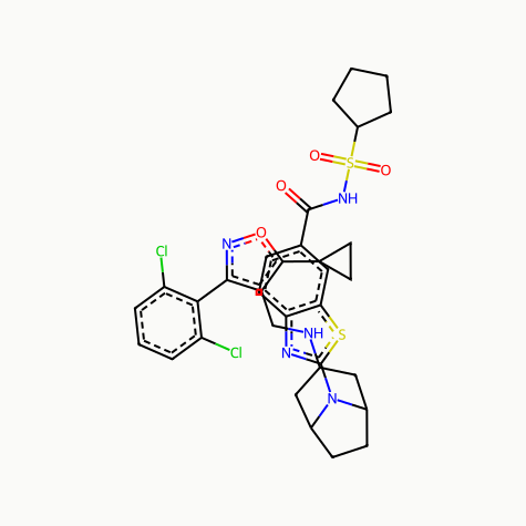 O=C(NS(=O)(=O)C1CCCC1)c1ccc2nc(N3C4CCC3CC(NCc3c(-c5c(Cl)cccc5Cl)noc3C3CC3)C4)sc2c1